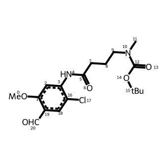 COc1cc(NC(=O)CCCN(C)C(=O)OC(C)(C)C)c(Cl)cc1C=O